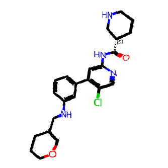 O=C(Nc1cc(-c2cccc(NCC3CCCOC3)c2)c(Cl)cn1)[C@H]1CCCNC1